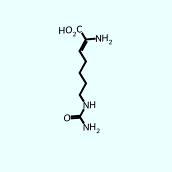 NC(=O)NCCCCC=C(N)C(=O)O